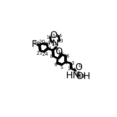 O=C(C=Cc1ccc(C=C(C(=O)N2CCOCC2)c2ccc(F)cc2)cc1)NO